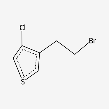 Clc1cscc1CCBr